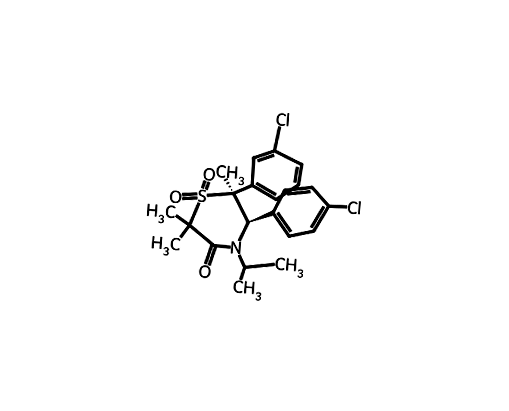 CC(C)N1C(=O)C(C)(C)S(=O)(=O)[C@@](C)(c2cccc(Cl)c2)[C@H]1c1ccc(Cl)cc1